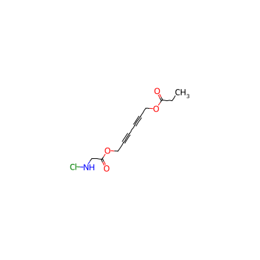 CCC(=O)OCC#CC#CCOC(=O)CNCl